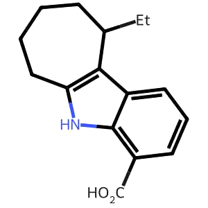 CCC1CCCCc2[nH]c3c(C(=O)O)cccc3c21